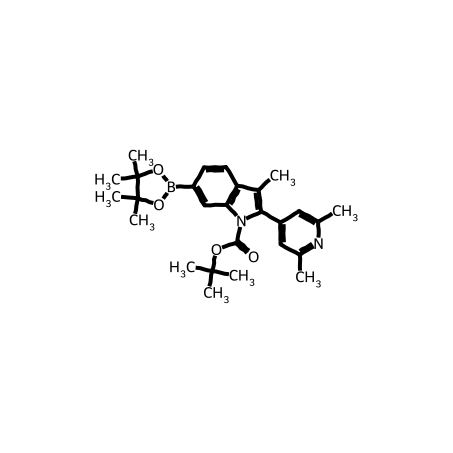 Cc1cc(-c2c(C)c3ccc(B4OC(C)(C)C(C)(C)O4)cc3n2C(=O)OC(C)(C)C)cc(C)n1